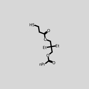 CCCC(=O)OCC(CC)(CC)COC(=O)CCS